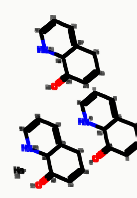 O=C1C=CCC2=CC=CNC12.O=C1C=CCC2=CC=CNC12.O=C1C=CCC2=CC=CNC12.[Ho]